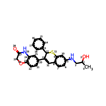 CC(O)CNc1ccc2c(c1)SC(c1ccccc1)C(c1ccc3c(c1)NC(=O)CO3)=C2